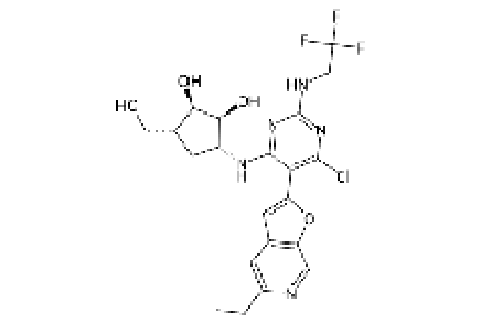 CCc1cc2cc(-c3c(Cl)nc(NCC(F)(F)F)nc3N[C@@H]3C[C@H](CO)[C@@H](O)[C@H]3O)oc2cn1